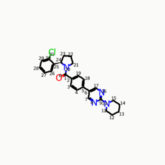 O=C(c1ccc(-c2cnc(N3CCCCC3)nc2)cc1)N1CCC[C@@H]1c1ccccc1Cl